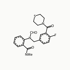 CNC(=O)c1ccccc1N(C=O)Cc1ccc(F)c(C(=O)N2CCSCC2)c1